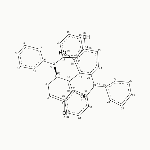 OC1=CC[C@@H](P(c2ccccc2)c2ccccc2)C(c2c(P(c3ccccc3)c3ccccc3)ccc(O)c2O)=C1O